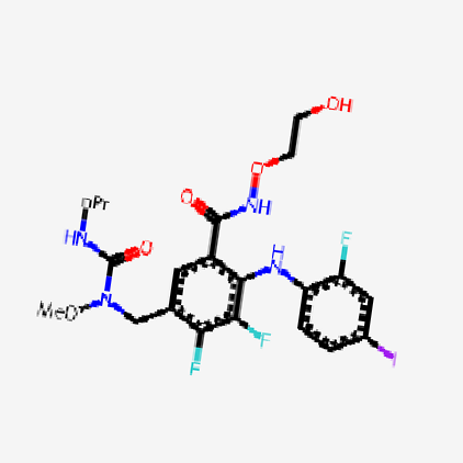 CCCNC(=O)N(Cc1cc(C(=O)NOCCO)c(Nc2ccc(I)cc2F)c(F)c1F)OC